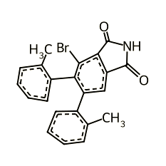 Cc1ccccc1-c1cc2c(c(Br)c1-c1ccccc1C)C(=O)NC2=O